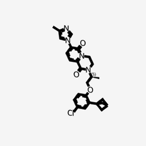 Cc1cn(-c2ccc3n(c2=O)CCN([C@@H](C)COc2ccc(Cl)cc2C24CC(C2)C4)C3=O)cn1